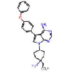 Nc1ncnc2c1c(-c1ccc(Oc3ccccc3)cc1)cn2C1CCC(N)(CC(=O)O)CC1